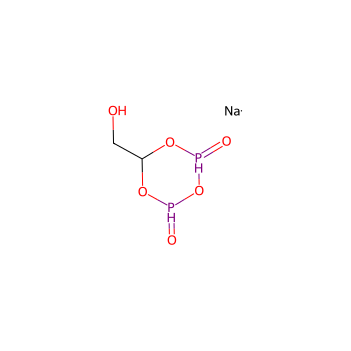 O=[PH]1OC(CO)O[PH](=O)O1.[Na]